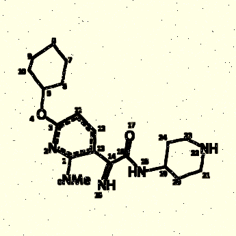 CNc1nc(OC2CCCCC2)ccc1C(=N)C(=O)NC1CCNCC1